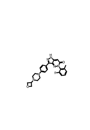 Cc1cccc(F)c1-n1nc2c(-c3ccc(N4CCN(C5COC5)CC4)cc3)n[nH]c2cc1=O